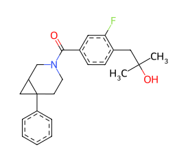 CC(C)(O)Cc1ccc(C(=O)N2CCC3(c4ccccc4)CC3C2)cc1F